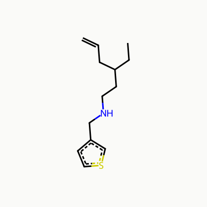 C=CCC(CC)CCNCc1ccsc1